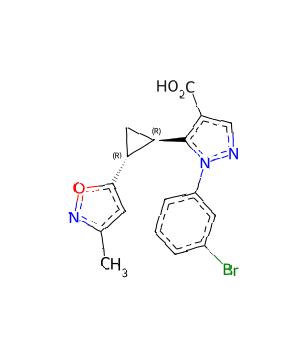 Cc1cc([C@@H]2C[C@H]2c2c(C(=O)O)cnn2-c2cccc(Br)c2)on1